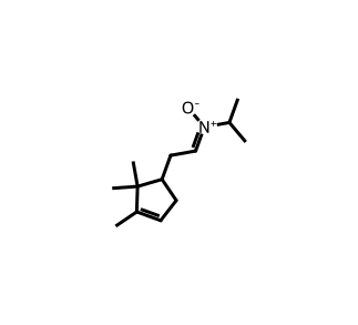 CC1=CCC(CC=[N+]([O-])C(C)C)C1(C)C